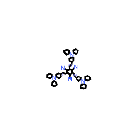 N#Cc1c(/C=C/c2ccc(N(c3ccccc3)c3ccccc3)cc2)c(C#N)c(/C=C/c2ccc(N(c3ccccc3)c3ccccc3)cc2)c(C#N)c1/C=C/c1ccc(N(c2ccccc2)c2ccccc2)cc1